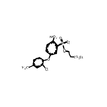 CCOC(=O)CCOP(=O)(CC)c1cc(Oc2ccc(C(F)(F)F)cc2Cl)ccc1[N+](=O)[O-]